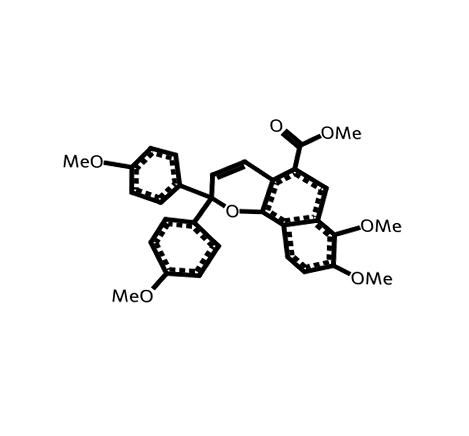 COC(=O)c1cc2c(OC)c(OC)ccc2c2c1C=CC(c1ccc(OC)cc1)(c1ccc(OC)cc1)O2